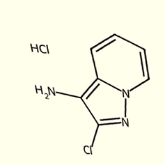 Cl.Nc1c(Cl)nn2ccccc12